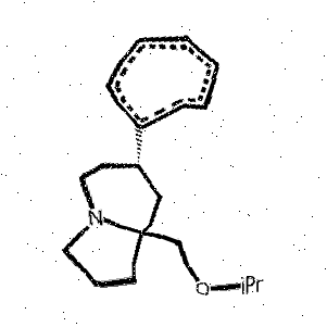 CC(C)OCC12CCCN1C[C@H](c1ccccc1)C2